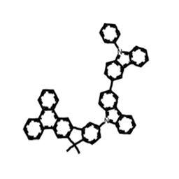 CC1(C)c2ccc(-n3c4ccccc4c4cc(-c5ccc6c(c5)c5ccccc5n6-c5ccccc5)ccc43)cc2-c2cc3c4ccccc4c4ccccc4c3cc21